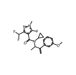 C=C(c1cccc(OC)c1)C(C)N(C(=O)c1c(C(F)F)nn(C)c1F)C1CC1